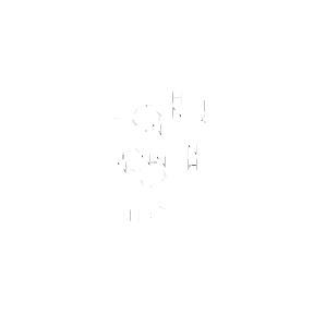 COc1cc2ncc(-c3nc(N[C@H]4CNCC[C@@H]4F)c(F)cc3F)n2nc1C1CCCCC1